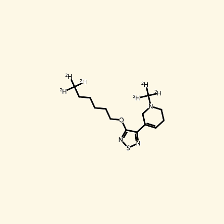 [2H]C([2H])([2H])CCCCCOc1nsnc1C1=CCCN(C([2H])([2H])[2H])C1